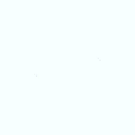 C1=CCC(C2CC=C(c3ccccc3)N2c2cc(-c3ccc(-c4ccccc4)cc3)c3cc4cc(-n5c(-c6ccccc6)ccc5-c5ccccc5)cc(-c5ccc(-c6ccccc6)cc5)c4cc3c2)C=C1